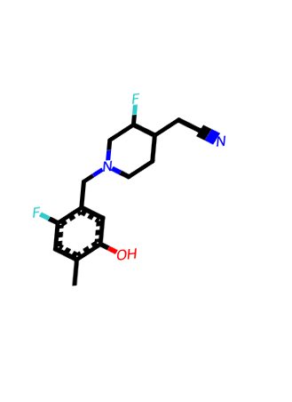 Cc1cc(F)c(CN2CCC(CC#N)C(F)C2)cc1O